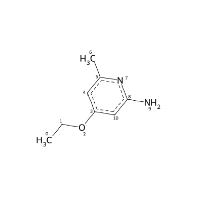 CCOc1[c]c(C)nc(N)c1